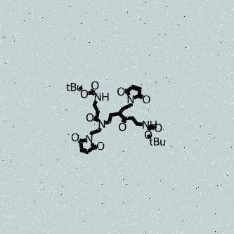 CC(C)(C)OC(=O)NCCC(=O)C(CCN(CCN1C(=O)C=CC1=O)C(=O)CCNC(=O)OC(C)(C)C)CCN1C(=O)C=CC1=O